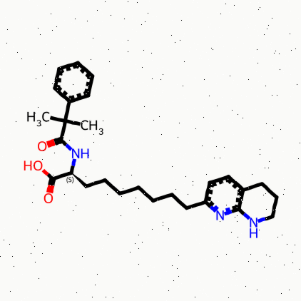 CC(C)(C(=O)N[C@@H](CCCCCCCc1ccc2c(n1)NCCC2)C(=O)O)c1ccccc1